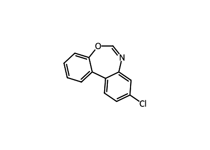 Clc1ccc2c(c1)N=COc1ccccc1-2